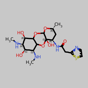 CN[C@@H]1[C@H](O)[C@H](NC)C2O[C@]3(O)C(OC2[C@@H]1O)O[C@H](C)C[C@H]3NC(=O)Cc1nccs1